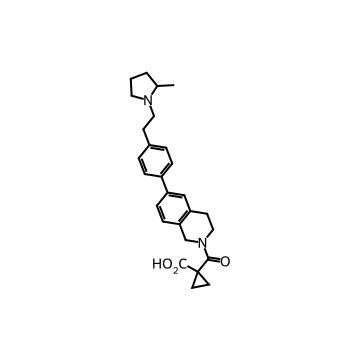 CC1CCCN1CCc1ccc(-c2ccc3c(c2)CCN(C(=O)C2(C(=O)O)CC2)C3)cc1